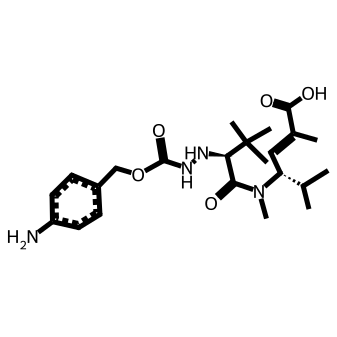 C/C(=C\[C@H](C(C)C)N(C)C(=O)[C@@H](NNC(=O)OCc1ccc(N)cc1)C(C)(C)C)C(=O)O